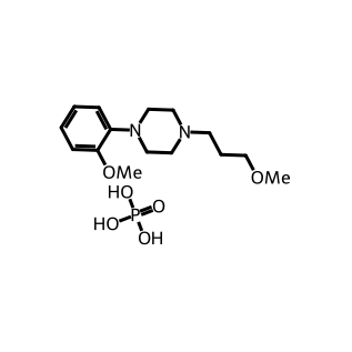 COCCCN1CCN(c2ccccc2OC)CC1.O=P(O)(O)O